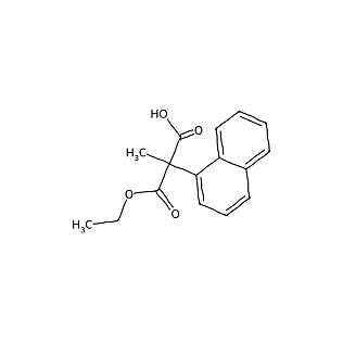 CCOC(=O)C(C)(C(=O)O)c1cccc2ccccc12